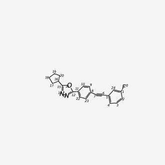 Fc1cccc(C#Cc2ccc(-c3nnc(C4CCCC4)o3)cc2)c1